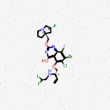 C=C[C@@H](COc1c(Cl)c(Br)c(F)c2nc(OC[C@@]34CCCN3C[C@H](F)C4)nc(O)c12)NCC(F)F